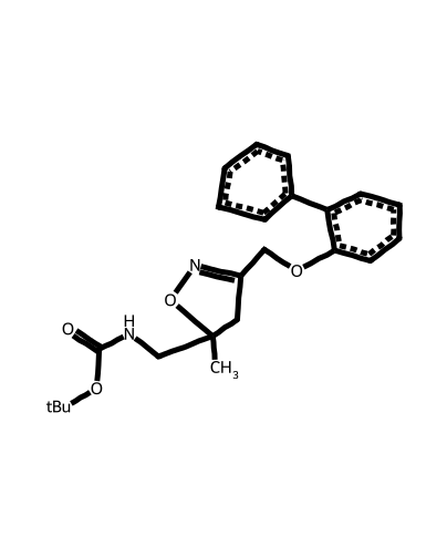 CC(C)(C)OC(=O)NCC1(C)CC(COc2ccccc2-c2ccccc2)=NO1